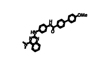 COc1ccc(-c2ccc(C(=O)Nc3ccc(Nc4nc(N(C)C)c5ccccc5n4)cc3)cc2)cc1